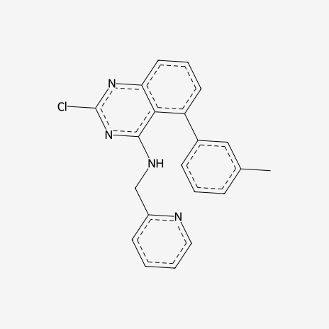 Cc1cccc(-c2cccc3nc(Cl)nc(NCc4ccccn4)c23)c1